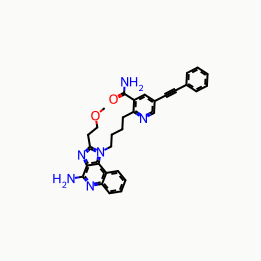 COCCc1nc2c(N)nc3ccccc3c2n1CCCCc1ncc(C#Cc2ccccc2)cc1C(N)=O